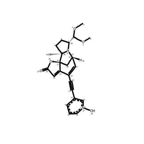 COC(OC)[C@H]1CC[C@H]2N1[C@@H]1C=C(C#Cc3ccc[n+](O)c3)C3=CC(=O)O[C@@]32C1